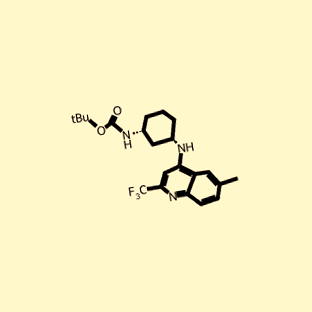 Cc1ccc2nc(C(F)(F)F)cc(N[C@H]3CCC[C@@H](NC(=O)OC(C)(C)C)C3)c2c1